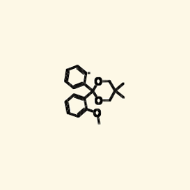 COc1ccccc1C1(c2[c]cccc2)OCC(C)(C)CO1